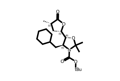 C[C@H]1C[C@@H]([C@@H]2OC(C)(C)N(C(=O)OC(C)(C)C)[C@H]2CC2CCCCC2)OC1=O